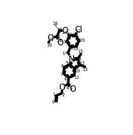 C=CCOC(=O)c1ccc2c(c1)c(C)c(C)n2Cc1ccc(Cl)c(O[C@@H](C)C(=O)OC)c1